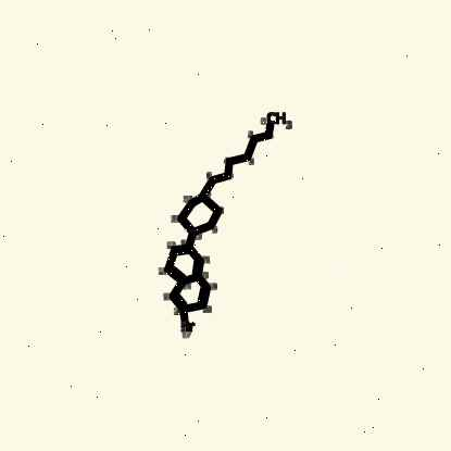 CCCCCCCC1CCC(c2ccc3cc(Br)ccc3c2)CC1